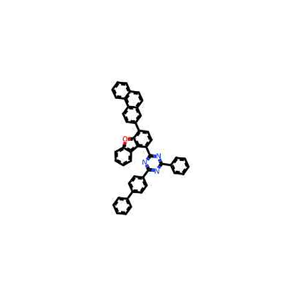 c1ccc(-c2ccc(-c3nc(-c4ccccc4)nc(-c4ccc(-c5ccc6c(ccc7ccccc76)c5)c5oc6ccccc6c45)n3)cc2)cc1